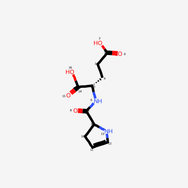 O=C(O)CC[C@H](NC(=O)C1CC=CN1)C(=O)O